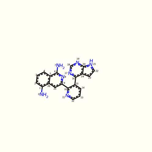 Nc1cccc2c(N)nc(-c3ncccc3-c3ncnc4[nH]ccc34)cc12